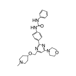 CN1CCC(OCc2cc(N3CCOCC3)nc(-c3ccc(NC(=O)Nc4ccccc4)cc3)n2)CC1